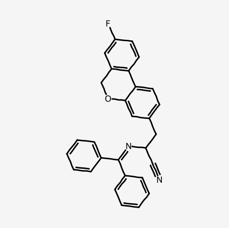 N#CC(Cc1ccc2c(c1)OCc1cc(F)ccc1-2)N=C(c1ccccc1)c1ccccc1